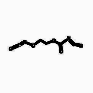 O=C=NOCCOC(=O)N=C=O